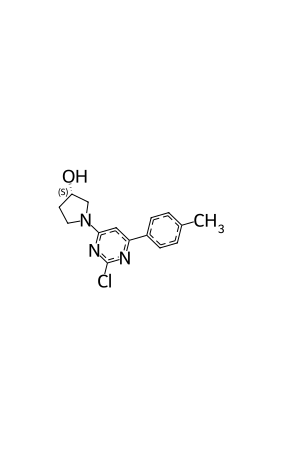 Cc1ccc(-c2cc(N3CC[C@H](O)C3)nc(Cl)n2)cc1